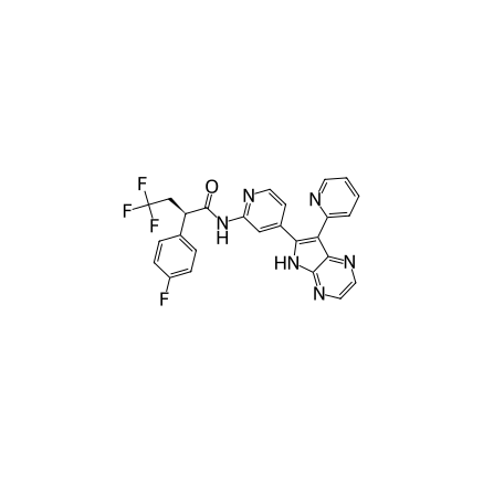 O=C(Nc1cc(-c2[nH]c3nccnc3c2-c2ccccn2)ccn1)[C@H](CC(F)(F)F)c1ccc(F)cc1